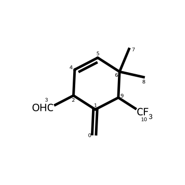 C=C1C(C=O)C=CC(C)(C)C1C(F)(F)F